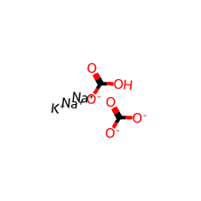 O=C([O-])O.O=C([O-])[O-].[K+].[Na+].[Na+]